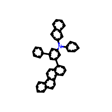 c1ccc(-c2cc(-c3cccc4c3ccc3c5ccccc5ccc43)cc(N(c3ccccc3)c3ccc4ccccc4c3)c2)cc1